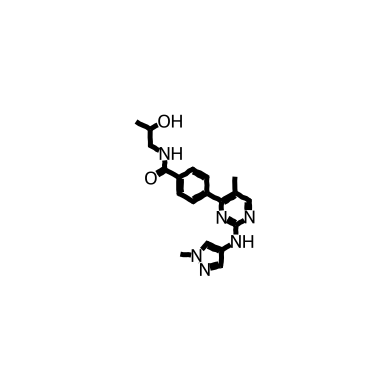 Cc1cnc(Nc2cnn(C)c2)nc1-c1ccc(C(=O)NCC(C)O)cc1